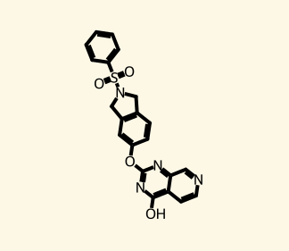 O=S(=O)(c1ccccc1)N1Cc2ccc(Oc3nc(O)c4ccncc4n3)cc2C1